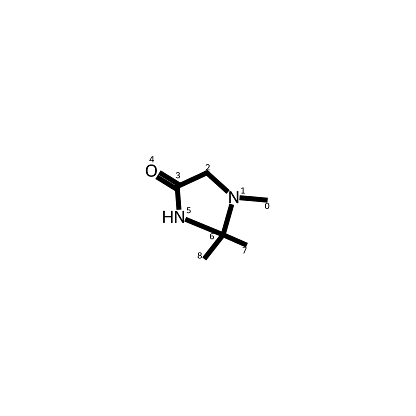 CN1CC(=O)NC1(C)C